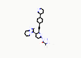 CNC(C)C(=O)Nc1ccc(-c2c(C)nc3ccccn23)c(C#Cc2ccc(-c3cccnc3)cc2)n1